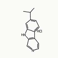 CC(C)c1ccc2c(c1)[nH]c1cnccc12.Cl